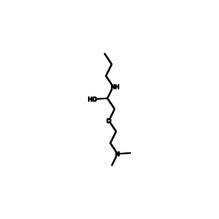 CCCNC(O)COCCN(C)C